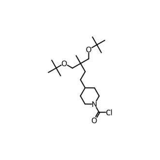 CC(CCC1CCN(C(=O)Cl)CC1)(COC(C)(C)C)COC(C)(C)C